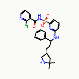 CC1(C)C[C@H](CCC(Nc2cccc(S(=O)(=O)NC(=O)c3cccnc3Cl)n2)c2ccccc2)CN1